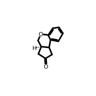 O=C1CC2c3ccccc3OC[C@@H]2C1